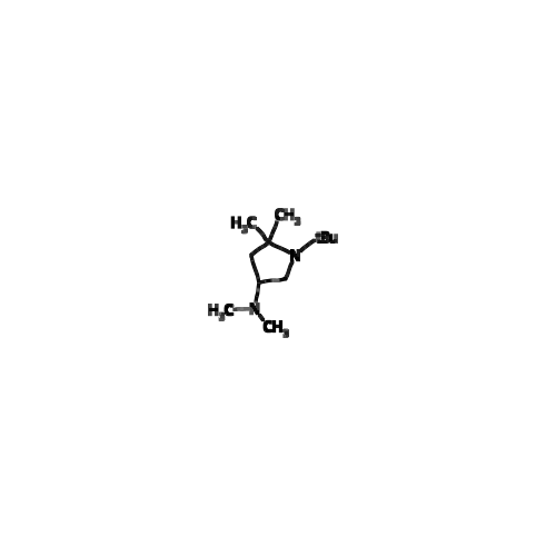 CN(C)C1CN(C(C)(C)C)C(C)(C)C1